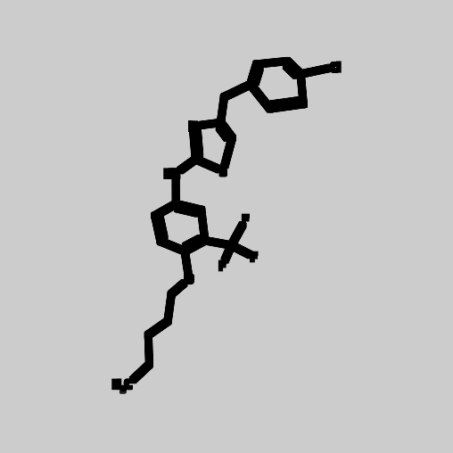 CCCCCOc1ccc(Nc2nc(Cc3ccc(Cl)cc3)cs2)cc1C(F)(F)F